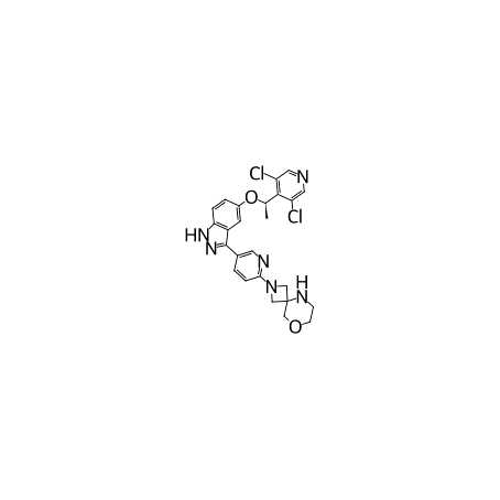 C[C@@H](Oc1ccc2[nH]nc(-c3ccc(N4CC5(COCCN5)C4)nc3)c2c1)c1c(Cl)cncc1Cl